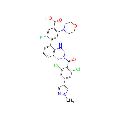 Cn1cc(-c2cc(Cl)c(C(=O)N3CNc4c(cccc4-c4cc(N5CCOCC5)c(C(=O)O)cc4F)C3)c(Cl)c2)cn1